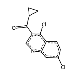 O=C(c1cnc2cc(Cl)ccc2c1Cl)C1CC1